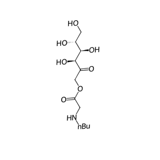 CCCCNCC(=O)OCC(=O)[C@@H](O)[C@H](O)[C@H](O)CO